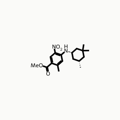 COC(=O)c1cc([N+](=O)[O-])c(N[C@H]2C[C@@H](C)CC(C)(C)C2)cc1C